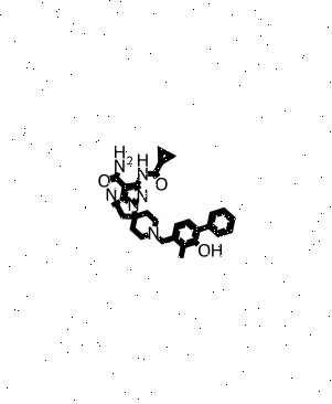 Cc1c(CN2CCC(CC#N)(n3cc(C(N)=O)c(NC(=O)C4CC4)n3)CC2)ccc(-c2ccccc2)c1O